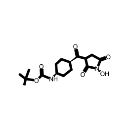 CC(C)(C)OC(=O)N[C@H]1CC[C@@H](C(=O)C2CC(=O)N(O)C2=O)CC1